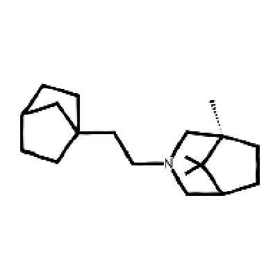 CC1(C)C2CC[C@]1(C)CN(CCC13CCC(CC1)C3)C2